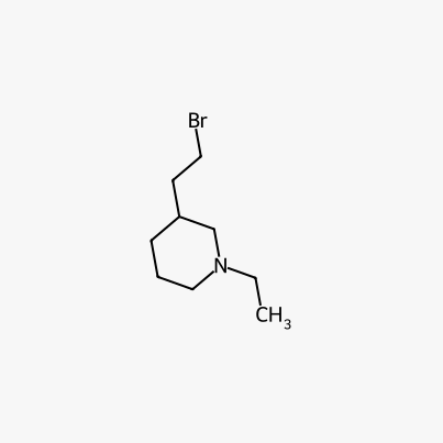 CCN1CCCC(CCBr)C1